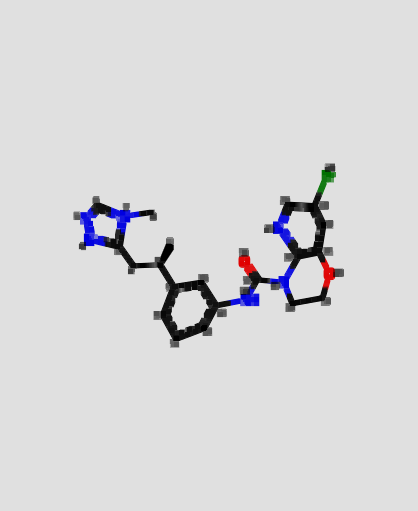 C[C@H](Cc1nncn1C)c1cccc(NC(=O)N2CCOc3cc(Br)cnc32)c1